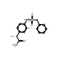 C[C@@H](C(N)=O)c1ccc(NS(=O)(=O)Cc2ccccc2)cc1